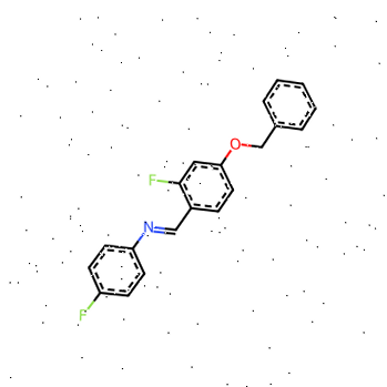 Fc1ccc(N=Cc2ccc(OCc3ccccc3)cc2F)cc1